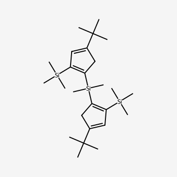 CC(C)(C)C1=CC([Si](C)(C)C)=C([Si](C)(C)C2=C([Si](C)(C)C)C=C(C(C)(C)C)C2)C1